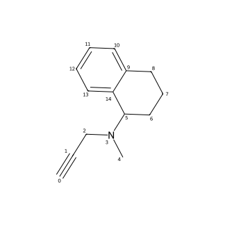 C#CCN(C)C1CCCc2ccccc21